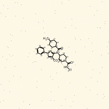 CCNC(=O)N1CCC(N(C(=O)C2CCC(C)CC2)c2nn(-c3ccccc3)cc2C(=O)OCC)CC1